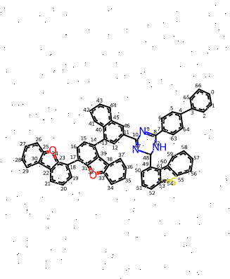 c1ccc(-c2ccc(C3=NC(c4cc(-c5ccc(-c6cccc7c6oc6ccccc67)c6oc7ccccc7c56)c5ccccc5c4)=NC(c4cccc5sc6ccccc6c45)N3)cc2)cc1